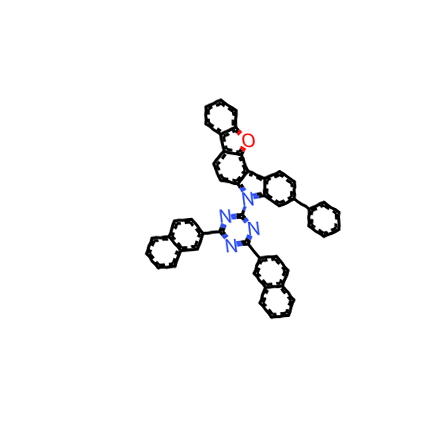 c1ccc(-c2ccc3c4c5oc6ccccc6c5ccc4n(-c4nc(-c5ccc6ccccc6c5)nc(-c5ccc6ccccc6c5)n4)c3c2)cc1